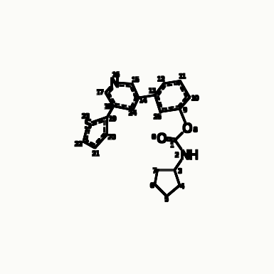 O=C(NC1CCCC1)Oc1cccc(-c2cncc(-c3cccs3)c2)c1